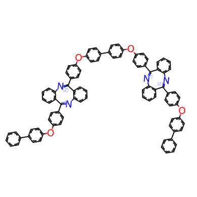 c1ccc(-c2ccc(Oc3ccc(/C4=N/c5ccccc5/C(c5ccc(Oc6ccc(-c7ccc(Oc8ccc(/C9=N/c%10ccccc%10/C(c%10ccc(Oc%11ccc(-c%12ccccc%12)cc%11)cc%10)=N\c%10ccccc%109)cc8)cc7)cc6)cc5)=N\c5ccccc54)cc3)cc2)cc1